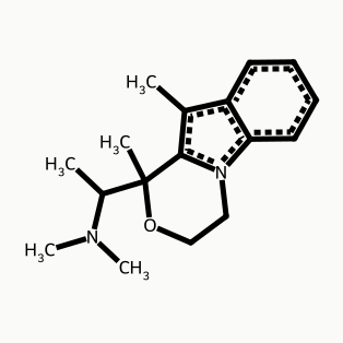 Cc1c2n(c3ccccc13)CCOC2(C)C(C)N(C)C